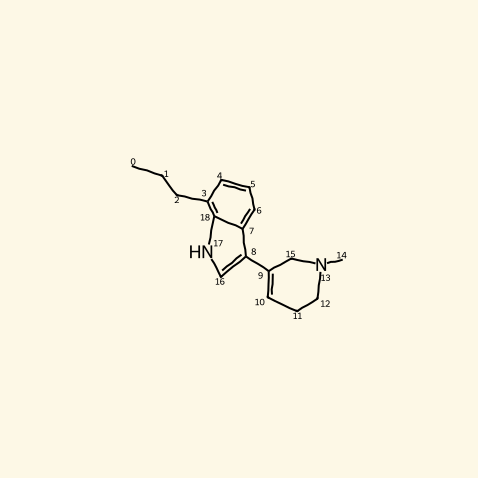 CCCc1cccc2c(C3=CCCN(C)C3)c[nH]c12